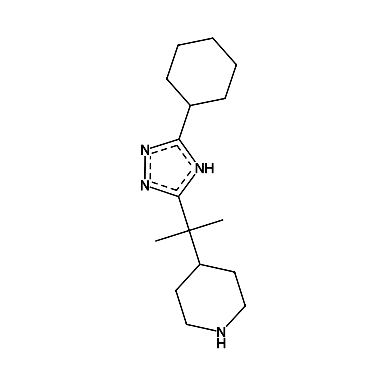 CC(C)(c1nnc(C2CCCCC2)[nH]1)C1CCNCC1